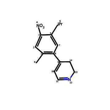 Cc1cc([N+](=O)[O-])c(C(C)C)cc1C1=CC=NCC1